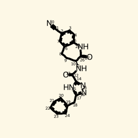 N#Cc1ccc2c(c1)CC[C@H](NC(=O)c1nnc(Cc3ccccc3)[nH]1)C(=O)N2